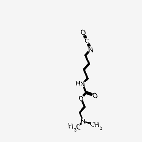 CN(C)CCOC(=O)NCCCCN=C=O